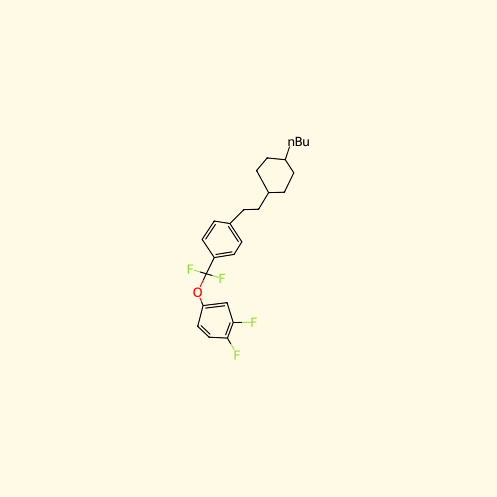 CCCCC1CCC(CCc2ccc(C(F)(F)Oc3ccc(F)c(F)c3)cc2)CC1